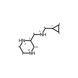 C1CNC(CNCC2CC2)CN1